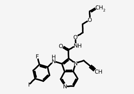 C#CCn1c(C(=O)NOCCOC=C)c(Nc2ccc(I)cc2F)c2cnccc21